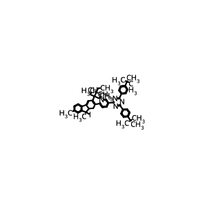 C=CC(CC)(C1=C(c2ccc(-c3nc(-c4ccc(C(C)(C)C)cc4)nc(-c4ccc(C(C)(C)C)cc4)n3)cn2)CC2C(=C1)c1ccc(C)cc1C2(C)I)C(C)(C)CC